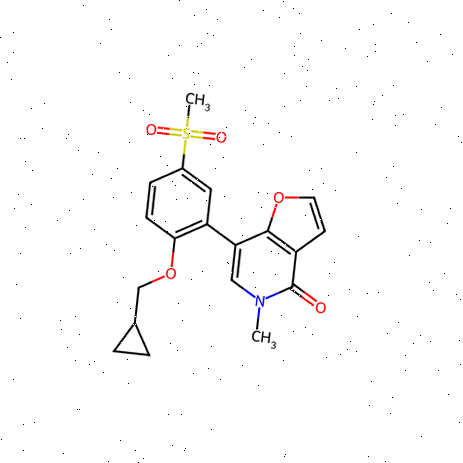 Cn1cc(-c2cc(S(C)(=O)=O)ccc2OCC2CC2)c2occc2c1=O